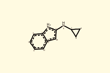 c1ccc2[nH]c(NC3CC3)cc2c1